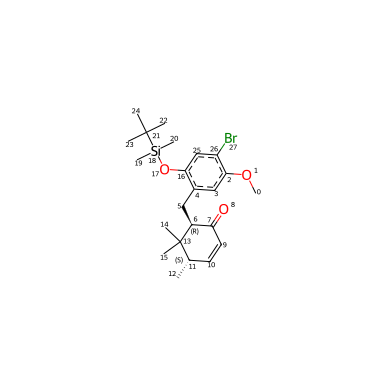 COc1cc(C[C@H]2C(=O)C=C[C@H](C)C2(C)C)c(O[Si](C)(C)C(C)(C)C)cc1Br